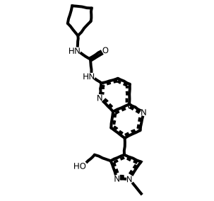 Cn1cc(-c2cnc3ccc(NC(=O)NC4CCCC4)nc3c2)c(CO)n1